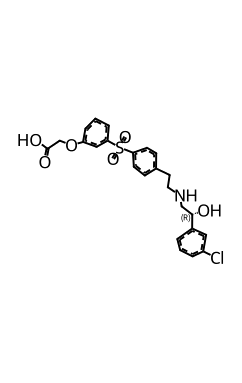 O=C(O)COc1cccc(S(=O)(=O)c2ccc(CCNC[C@H](O)c3cccc(Cl)c3)cc2)c1